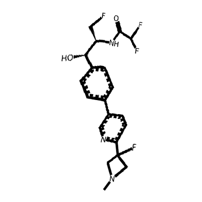 CN1CC(F)(c2ccc(-c3ccc([C@@H](O)[C@@H](CF)NC(=O)C(F)F)cc3)cn2)C1